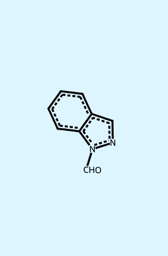 O=Cn1ncc2ccccc21